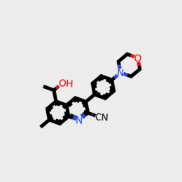 Cc1cc(C(C)O)c2cc(-c3ccc(N4CCOCC4)cc3)c(C#N)nc2c1